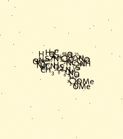 COc1ccc(C2CC(c3cccs3)=NN2C(=O)CSc2[nH]c(=O)nc(CC3Oc4ccc(C(C)NC(=O)CSc5[nH]c(=O)nc(C)c5C#N)cc4O3)c2C#N)cc1OC